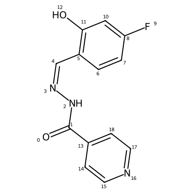 O=C(N/N=C\c1ccc(F)cc1O)c1ccncc1